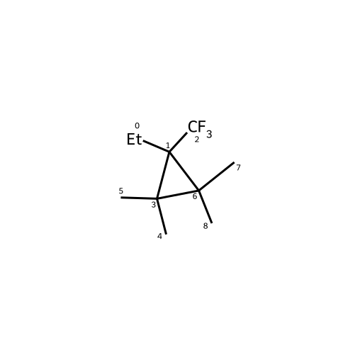 CCC1(C(F)(F)F)C(C)(C)C1(C)C